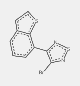 Brc1nsnc1-c1cccc2ccsc12